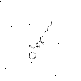 CCCCCCCC(=O)ONC(=O)c1ccccc1